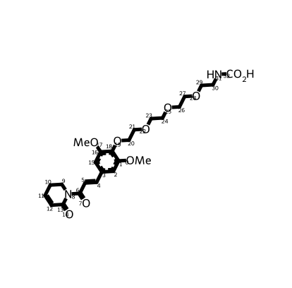 COc1cc(/C=C/C(=O)N2CCC=CC2=O)cc(OC)c1OCCOCCOCCOCCNC(=O)O